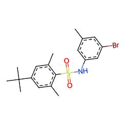 Cc1cc(Br)cc(NS(=O)(=O)c2c(C)cc(C(C)(C)C)cc2C)c1